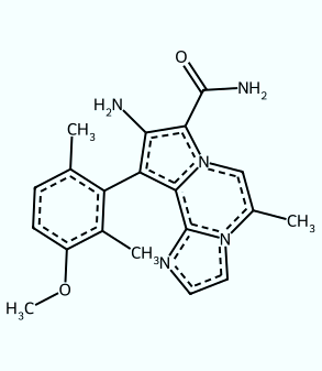 COc1ccc(C)c(-c2c(N)c(C(N)=O)n3cc(C)n4ccnc4c23)c1C